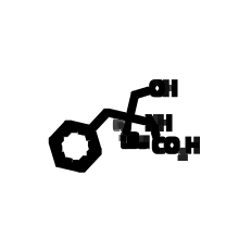 CC(C)(C)[C@](CO)(Cc1ccccc1)NC(=O)O